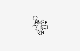 C[C@H]1CN(C2(CNC(=O)c3cn(-c4ncccn4)c4cccc(F)c34)CCCCC2)CCN1